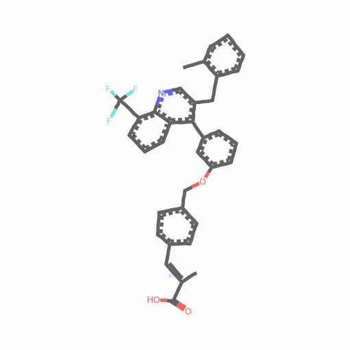 C/C(=C\c1ccc(COc2cccc(-c3c(Cc4ccccc4C)cnc4c(C(F)(F)F)cccc34)c2)cc1)C(=O)O